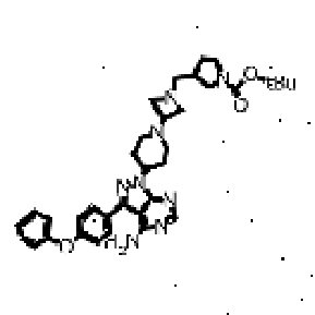 CC(C)(C)OC(=O)N1CCC(CN2CC(N3CCC(n4nc(-c5ccc(Oc6ccccc6)cc5)c5c(N)ncnc54)CC3)C2)C1